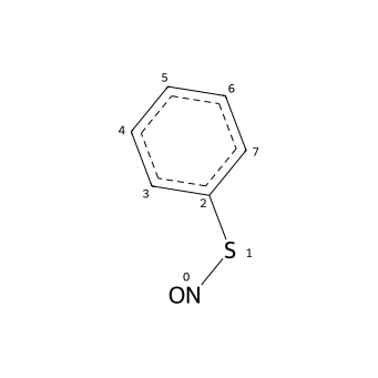 O=NSc1ccccc1